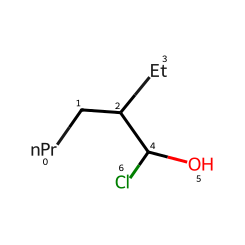 CCCCC(CC)C(O)Cl